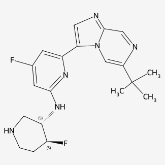 CC(C)(C)c1cn2c(-c3cc(F)cc(N[C@H]4CNCC[C@@H]4F)n3)cnc2cn1